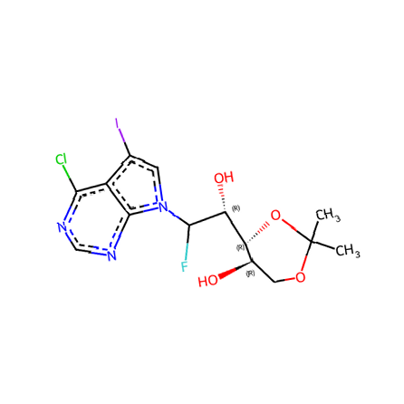 CC1(C)OC[C@@H](O)[C@H]([C@@H](O)C(F)n2cc(I)c3c(Cl)ncnc32)O1